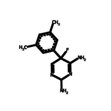 Cc1cc(C)cc(C2(F)C=NC(N)N=C2N)c1